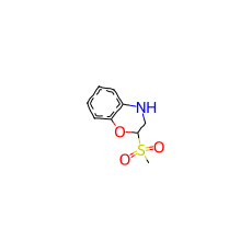 CS(=O)(=O)C1CNc2ccccc2O1